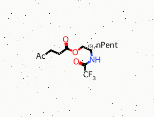 CCCCC[C@@H](COC(=O)CCC(C)=O)NC(=O)C(F)(F)F